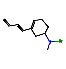 C=C/C=C/C1=CCCC(N(C)Br)C1